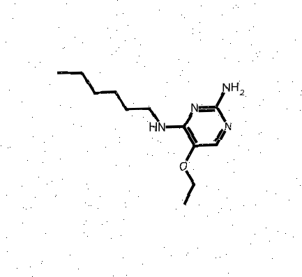 CCCCCCNc1nc(N)ncc1OCC